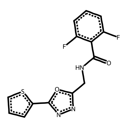 O=C(NCc1nnc(-c2cccs2)o1)c1c(F)cccc1F